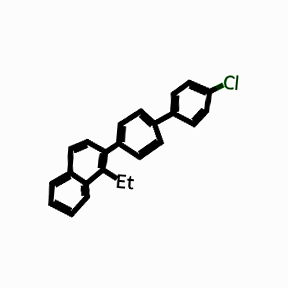 CCc1c(-c2ccc(-c3ccc(Cl)cc3)cc2)ccc2ccccc12